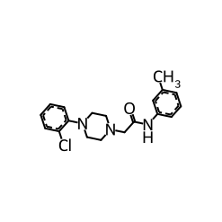 Cc1cccc(NC(=O)CN2CCN(c3ccccc3Cl)CC2)c1